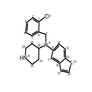 Clc1ccccc1CN(c1ccc2sccc2c1)C1CCNCC1